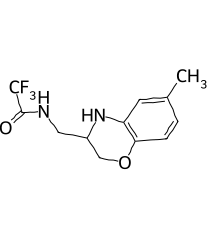 Cc1ccc2c(c1)NC(CNC(=O)C(F)(F)F)CO2